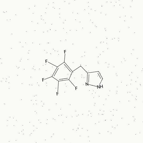 Fc1c(F)c(F)c([CH]c2cc[nH]n2)c(F)c1F